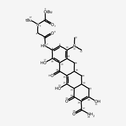 CC(C)COC(=O)N(CC(=O)Nc1cc(N(C)C)c2c(c1O)C(=O)C1=C(O)C3C(=O)C(C(N)=O)=C(O)CC3CC1C2)C(C)(C)C